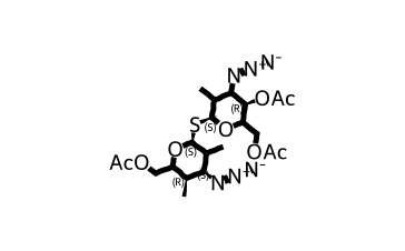 CC(=O)OCC1O[C@@H](S[C@@H]2OC(COC(C)=O)[C@H](C)[C@H](N=[N+]=[N-])C2C)C(C)C(N=[N+]=[N-])[C@H]1OC(C)=O